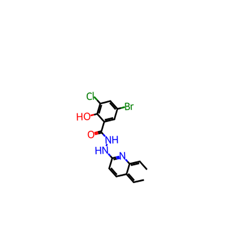 C/C=c1/ccc(NNC(=O)c2cc(Br)cc(Cl)c2O)n/c1=C/C